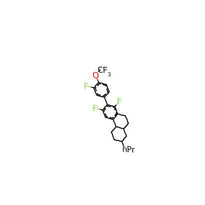 CCCC1CCC2c3cc(F)c(-c4ccc(OC(F)(F)F)c(F)c4)c(F)c3CCC2C1